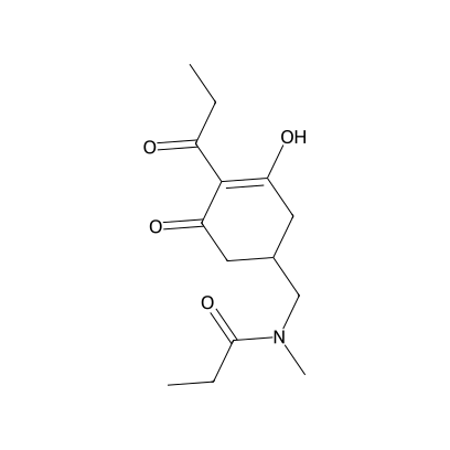 CCC(=O)C1=C(O)CC(CN(C)C(=O)CC)CC1=O